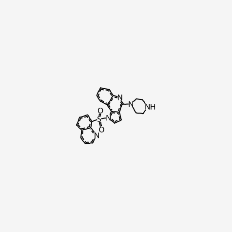 O=S(=O)(c1cccc2cccnc12)n1ccc2c(N3CCNCC3)nc3ccccc3c21